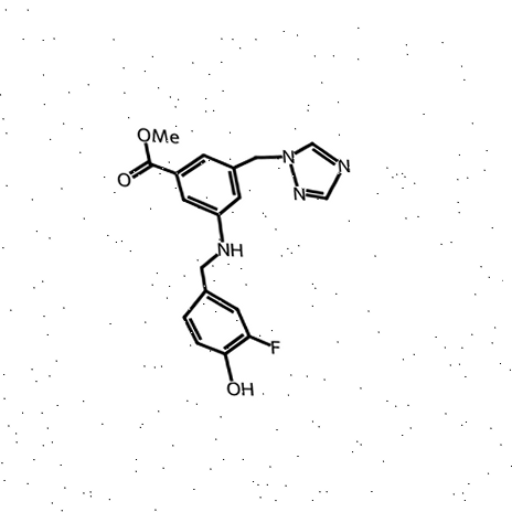 COC(=O)c1cc(Cn2cncn2)cc(NCc2ccc(O)c(F)c2)c1